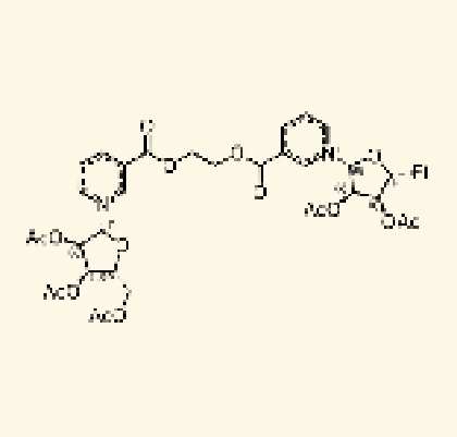 CC[C@H]1O[C@@H]([n+]2cccc(C(=O)OCCOC(=O)c3ccc[n+]([C@@H]4O[C@H](COC(C)=O)[C@@H](OC(C)=O)[C@H]4OC(C)=O)c3)c2)[C@H](OC(C)=O)[C@@H]1OC(C)=O